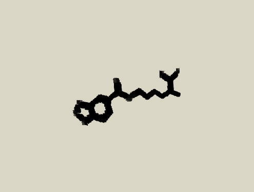 CC(CCCCOC(=O)c1ccc2nsnc2c1)=C(F)F